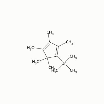 CC1=C(C)C(C)(C)[C]([Zr]([CH3])([CH3])[CH3])=C1C